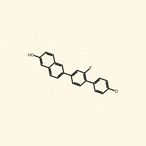 Oc1ccc2cc(-c3ccc(-c4ccc(Cl)cc4)c(F)c3)ccc2c1